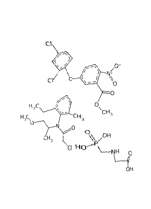 CCc1cccc(C)c1N(C(=O)CCl)C(C)COC.COC(=O)c1cc(Oc2ccc(Cl)cc2Cl)ccc1[N+](=O)[O-].O=C(O)CNCP(=O)(O)O